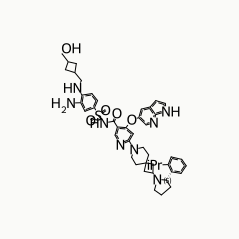 CC(C)c1ccccc1[C@@H]1CCCN1C1CC2(CCN(c3cc(Oc4cnc5[nH]ccc5c4)c(C(=O)NS(=O)(=O)c4ccc(NCC5CC(CO)C5)c(N)c4)cn3)CC2)C1